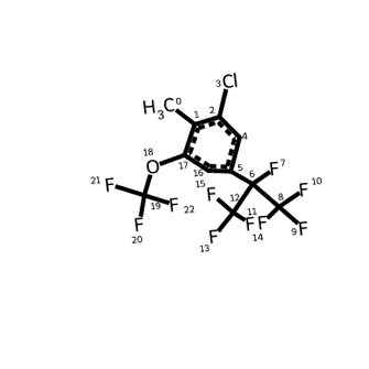 Cc1c(Cl)cc(C(F)(C(F)(F)F)C(F)(F)F)cc1OC(F)(F)F